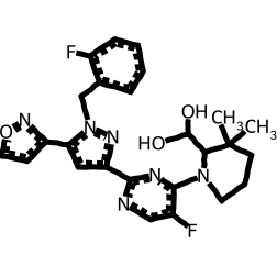 CC1(C)CCCN(c2nc(-c3cc(-c4ccon4)n(Cc4ccccc4F)n3)ncc2F)C1C(O)O